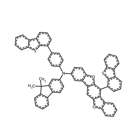 CC1(C)c2ccccc2-c2ccc(N(c3ccc(-c4cccc5c4sc4ccccc45)cc3)c3ccc4oc5c(-c6cccc7c6sc6ccccc67)c6c(cc5c4c3)oc3ccccc36)cc21